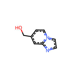 OCc1ccn2ccnc2c1